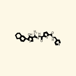 C/C(=N\NC(=O)c1ccc(C(=O)NCc2ccncc2)s1)c1csc(-c2ccc3c(c2)CCCC3)c1O